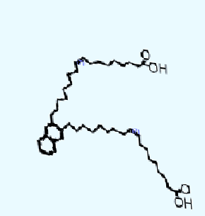 O=C(O)CCCCCCC/C=C\CCCCCCCCc1cc2ccccc2cc1CCCCCCCC/C=C\CCCCCCCC(=O)O